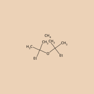 C.CCC(C)(C)OC(C)(C)CC